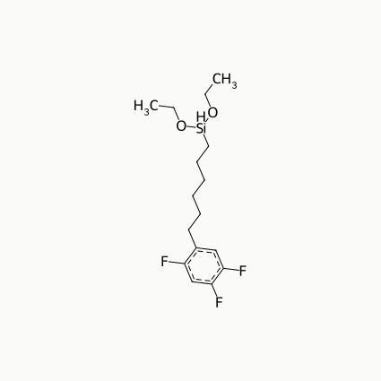 CCO[SiH](CCCCCCc1cc(F)c(F)cc1F)OCC